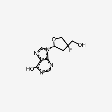 OC[C@@]1(F)CO[C@H](n2cnc3c(O)ncnc32)C1